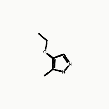 CCOC1=C(C)[N]N=C1